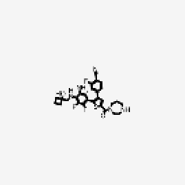 N#Cc1ccc(-c2cc(C(=O)N3CCCNCC3)sc2-c2cc(N)c(NCC3(O)CCC3)c(F)c2F)cc1F